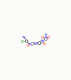 N#Cc1ccc(C(=O)N2CCC3(CC2)CN(c2ccc4c(c2)CN(C2CCC(=O)NC2=O)C4=O)C3)cc1Cl